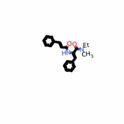 CCN(C)C(=O)/C(=C/c1ccccc1)NC(=O)C=Cc1ccccc1